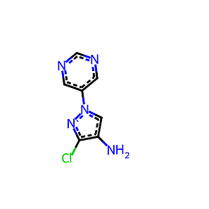 Nc1cn(-c2cncnc2)nc1Cl